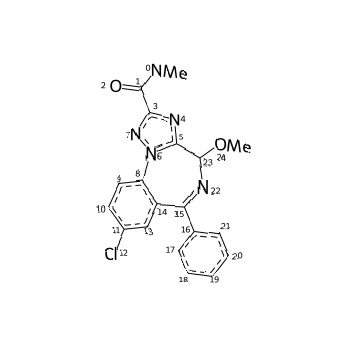 CNC(=O)c1nc2n(n1)-c1ccc(Cl)cc1C(c1ccccc1)=NC2OC